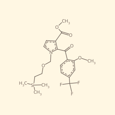 COC(=O)c1ccn(COCC[Si](C)(C)C)c1C(=O)c1ccc(C(F)(F)F)cc1OC